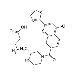 CCCC(=O)O.C[C@@H]1CN(C(=O)c2ccc3c(Cl)cc(-c4nccs4)nc3c2)CCN1